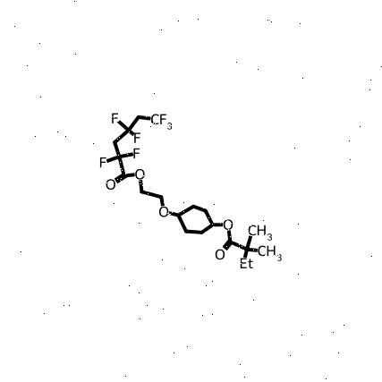 CCC(C)(C)C(=O)OC1CCC(OCCOC(=O)C(F)(F)CC(F)(F)CC(F)(F)F)CC1